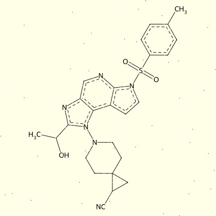 Cc1ccc(S(=O)(=O)n2ccc3c2ncc2nc(C(C)O)n(N4CCC5(CC4)CC5C#N)c23)cc1